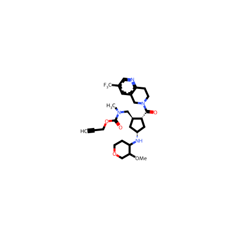 C#CCOC(=O)N(C)C[C@@H]1C[C@@H](NC2CCOCC2OC)C[C@H]1C(=O)N1CCc2ncc(C(F)(F)F)cc2C1